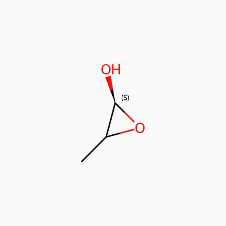 CC1O[C@@H]1O